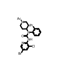 CC(=O)N1CCC(N(C(=O)Nc2ncc(Br)cc2Cl)c2ccccc2C(C)C)CC1